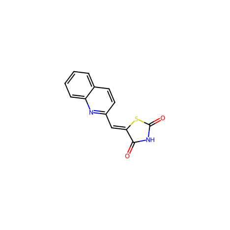 O=C1NC(=O)/C(=C/c2ccc3ccccc3n2)S1